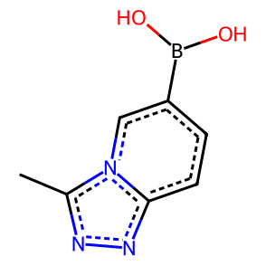 Cc1nnc2ccc(B(O)O)cn12